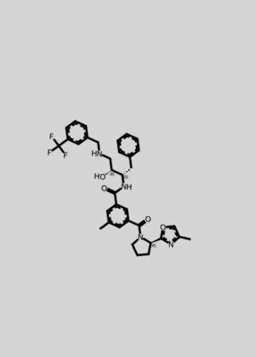 Cc1cc(C(=O)N[C@@H](Cc2ccccc2)[C@H](O)CNCc2cccc(C(F)(F)F)c2)cc(C(=O)N2CCC[C@@H]2c2nc(C)co2)c1